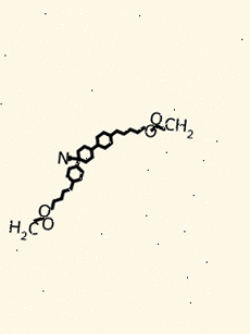 C=CC(=O)OCCCCCC1CCC(C2CCC(C#N)(C3CCC(CCCCCOC(=O)C=C)CC3)CC2)CC1